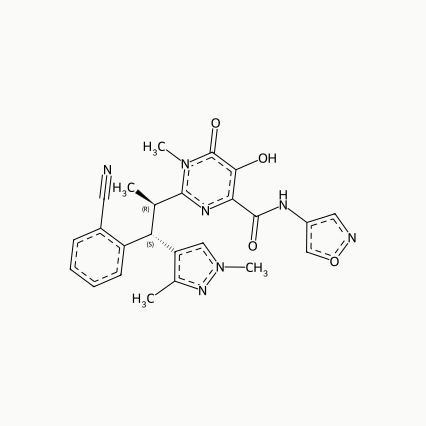 Cc1nn(C)cc1[C@H](c1ccccc1C#N)[C@@H](C)c1nc(C(=O)Nc2cnoc2)c(O)c(=O)n1C